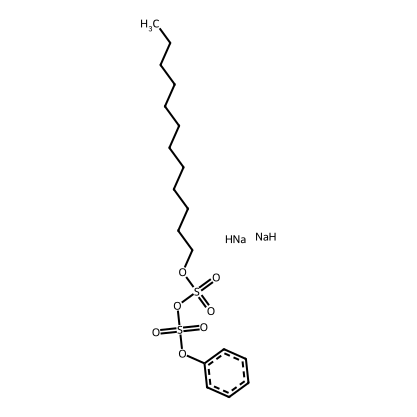 CCCCCCCCCCCCOS(=O)(=O)OS(=O)(=O)Oc1ccccc1.[NaH].[NaH]